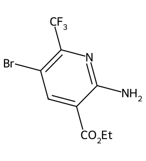 CCOC(=O)c1cc(Br)c(C(F)(F)F)nc1N